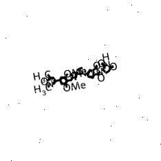 COc1cc(-c2cc(C)c(=O)n(C)c2)cc(OC)c1CN1CCC2(CCN(c3ccc4c(c3)C(=O)N(C3CCC(=O)NC3=O)C4=O)C2)C1